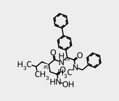 CC(C)C[C@H](CC(=O)NO)C(=O)N[C@H](C(=O)N(C)Cc1ccccc1)c1ccc(-c2ccccc2)cc1